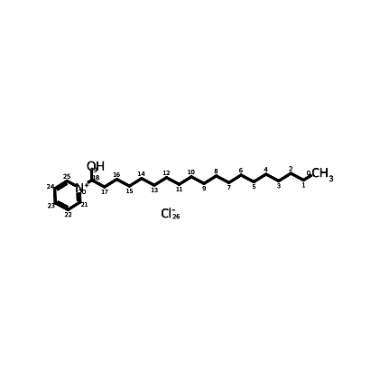 CCCCCCCCCCCCCCCCCCC(O)[n+]1ccccc1.[Cl-]